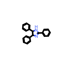 c1ccc(C2=NC(c3ccccc3)C(c3ccccc3)N2)cc1